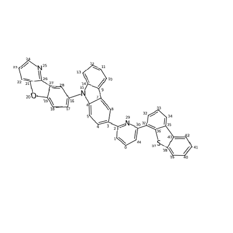 c1cc(-c2ccc3c(c2)c2ccccc2n3-c2ccc3oc4cccnc4c3c2)nc(-c2cccc3c2sc2ccccc23)c1